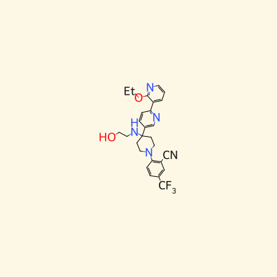 CCOc1ncccc1-c1ccc(C2(NCCO)CCN(c3ccc(C(F)(F)F)cc3C#N)CC2)cn1